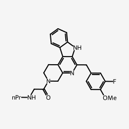 CCCNCC(=O)N1CCc2c(nc(Cc3ccc(OC)c(F)c3)c3[nH]c4ccccc4c23)C1